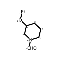 CCOC1CCCN(C=O)C1